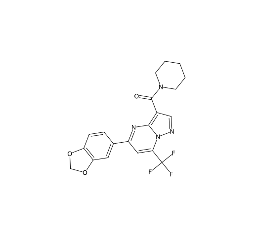 O=C(c1cnn2c(C(F)(F)F)cc(-c3ccc4c(c3)OCO4)nc12)N1CCCCC1